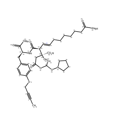 CC#CCOc1ccc(C[C@H](NC(=O)[C@@H](/C=C/CCCCCCC(=O)CCCCCCC)[C@@](O)(CC(=O)OC(C)ON2CCCC2)C(=O)O)C(=O)OC)cc1